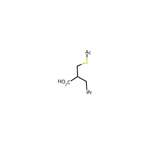 CC(=O)SCC(CC(C)C)C(=O)O